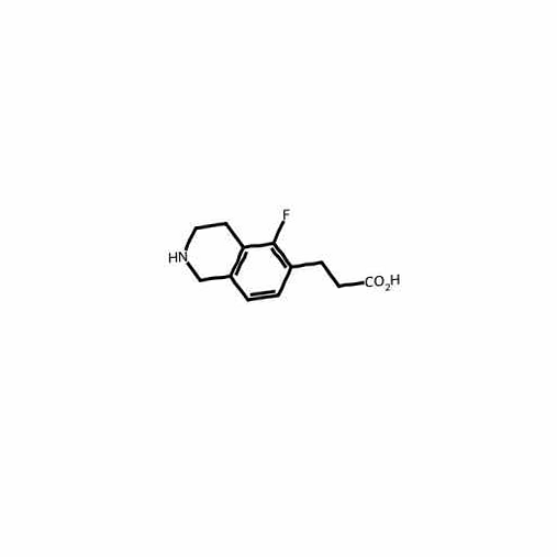 O=C(O)CCc1ccc2c(c1F)CCNC2